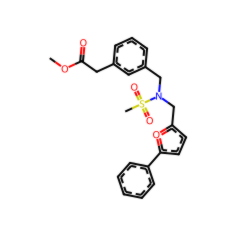 COC(=O)Cc1cccc(CN(Cc2ccc(-c3ccccc3)o2)S(C)(=O)=O)c1